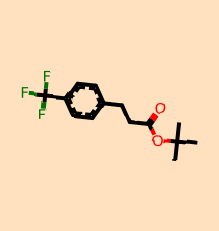 CC(C)(C)OC(=O)CCc1ccc(C(F)(F)F)cc1